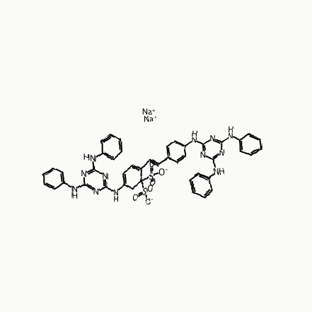 O=S(=O)([O-])C1(S(=O)(=O)[O-])CC(Nc2nc(Nc3ccccc3)nc(Nc3ccccc3)n2)=CC=C1C=Cc1ccc(Nc2nc(Nc3ccccc3)nc(Nc3ccccc3)n2)cc1.[Na+].[Na+]